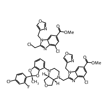 COC(=O)c1cc(Cl)c2nc(CCl)n(Cc3cocn3)c2c1.COC(=O)c1cc(Cl)c2nc(CN3CCN(c4cccc5c4O[C@](C)(c4ccc(Cl)cc4F)O5)[C@H]4COC[C@H]43)n(Cc3cocn3)c2c1